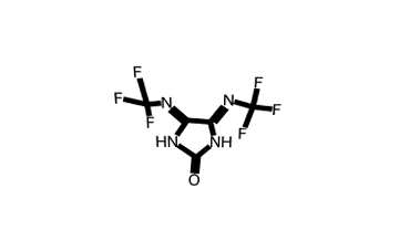 O=C1NC(=NC(F)(F)F)C(=NC(F)(F)F)N1